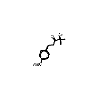 COc1ccc(CCC(=O)C(C)(C)C(C)=O)cc1